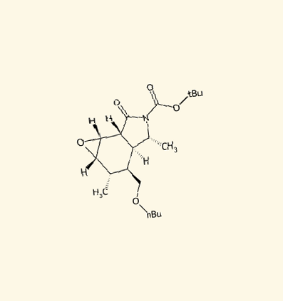 CCCCOC[C@H]1[C@H](C)[C@@H]2O[C@@H]2[C@@H]2C(=O)N(C(=O)OC(C)(C)C)[C@H](C)[C@@H]12